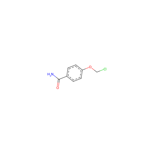 NC(=O)c1ccc(OCCl)cc1